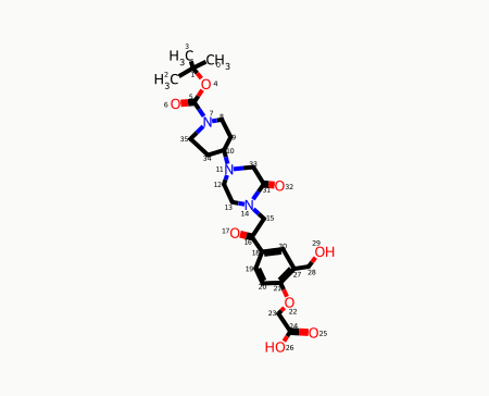 CC(C)(C)OC(=O)N1CCC(N2CCN(CC(=O)c3ccc(OCC(=O)O)c(CO)c3)C(=O)C2)CC1